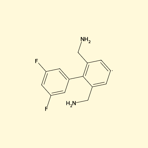 NCc1c[c]cc(CN)c1-c1cc(F)cc(F)c1